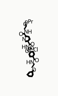 CCCOCCNC(=O)c1ccc(C(=O)NS(=O)(=O)c2ccc(C(=O)NCCOc3ccccc3)cc2Cl)cn1